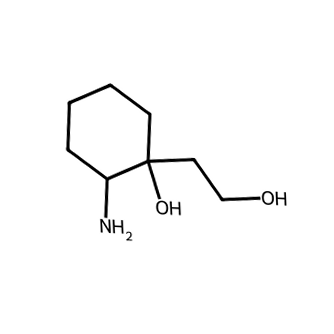 NC1CCCCC1(O)CCO